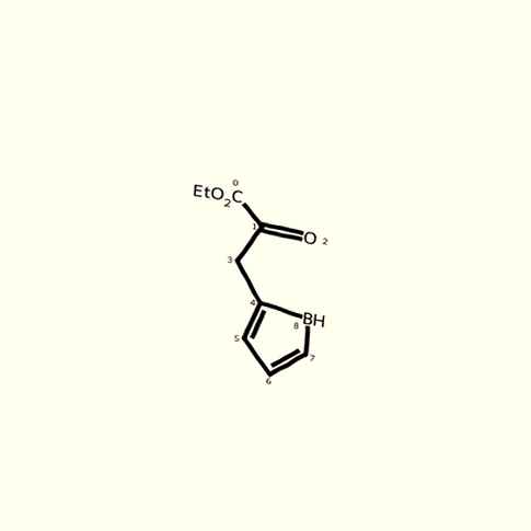 CCOC(=O)C(=O)CC1=CC=CB1